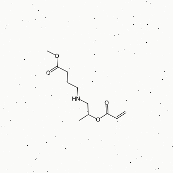 C=CC(=O)OC(C)CNCCCC(=O)OC